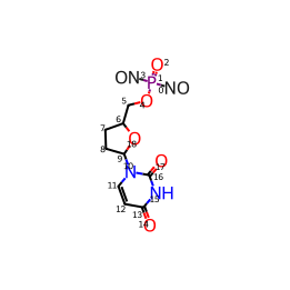 O=NP(=O)(N=O)OCC1CCC(n2ccc(=O)[nH]c2=O)O1